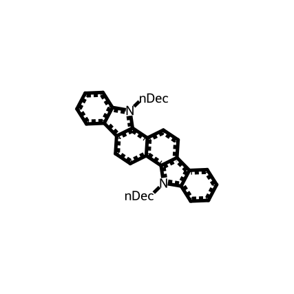 CCCCCCCCCCn1c2ccccc2c2ccc3c(ccc4c5ccccc5n(CCCCCCCCCC)c43)c21